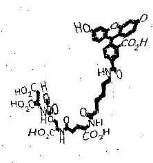 O=C1C=CC2C(=C1)Oc1cc(O)ccc1C2c1ccc(C(=O)NCCCCCC(=O)N[C@@H](CCC(=O)N[C@@H](COP(=O)(O)NC(CC(=O)O)C(=O)O)C(=O)O)C(=O)O)cc1C(=O)O